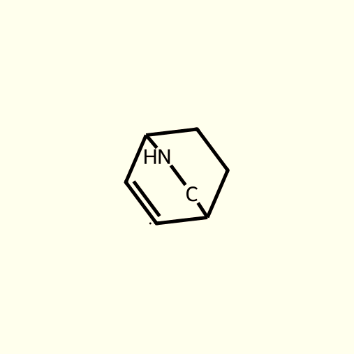 [C]1=CC2CCC1CN2